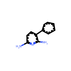 Nc1ccc(-c2ccccc2)c(N)n1